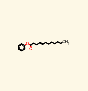 CCCCCCCC=CCCC(=O)Oc1ccccc1